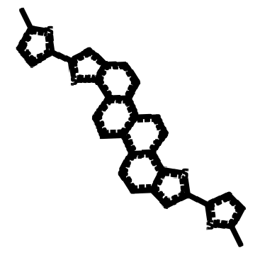 Cc1ccc(-c2cc3ccc4c5ccc6c(ccc7cc(-c8ccc(C)s8)sc76)c5ccc4c3s2)s1